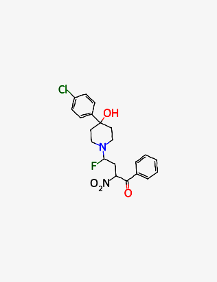 O=C(c1ccccc1)C(CC(F)N1CCC(O)(c2ccc(Cl)cc2)CC1)[N+](=O)[O-]